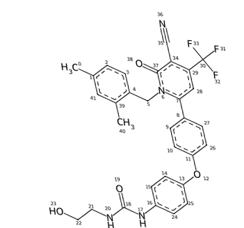 Cc1ccc(Cn2c(-c3ccc(Oc4ccc(NC(=O)NCCO)cc4)cc3)cc(C(F)(F)F)c(C#N)c2=O)c(C)c1